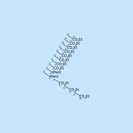 CCCCCC.CCCCCC.CCOC(C)=O.CCOC(C)=O.CCOC(C)=O.CCOC(C)=O.CCOC(C)=O.CCOC(C)=O.CCOC(C)=O.CCOC(C)=O.CCOC(C)=O.CCOC(C)=O.CCOC(C)=O